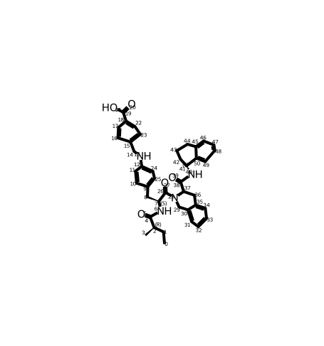 CC[C@@H](C)C(=O)N[C@@H](Cc1ccc(NCc2ccc(C(=O)O)cc2)cc1)C(=O)N1Cc2ccccc2CC1C(=O)N[C@@H]1CCCc2ccccc21